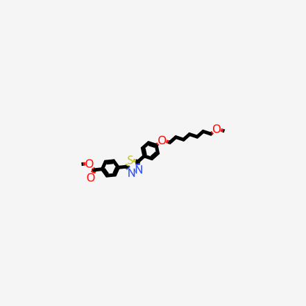 COCCCCCCCOc1ccc(-c2nnc(-c3ccc(C(=O)OC)cc3)s2)cc1